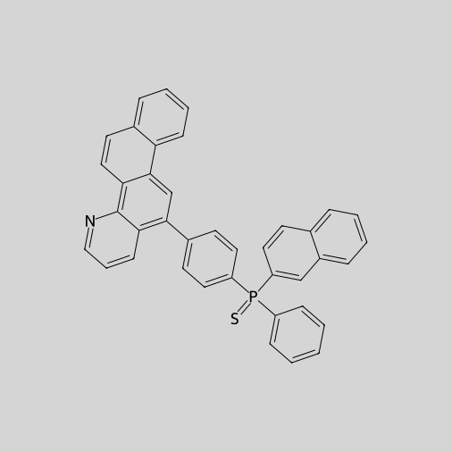 S=P(c1ccccc1)(c1ccc(-c2cc3c4ccccc4ccc3c3ncccc23)cc1)c1ccc2ccccc2c1